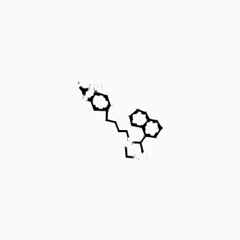 O=c1[nH]c2ccc(CCCCN3CCNCC3c3cccc4ccccc34)cc2s1